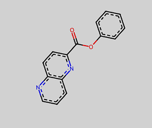 O=C(Oc1ccccc1)c1ccc2ncccc2n1